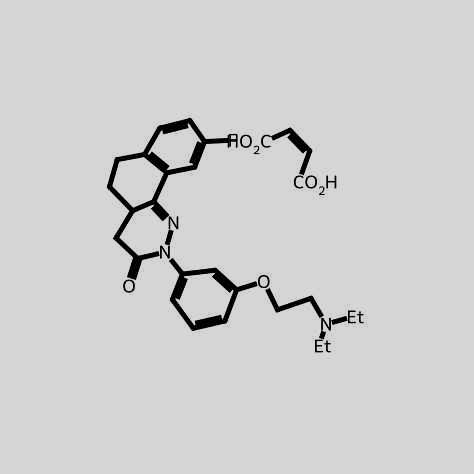 CCN(CC)CCOc1cccc(N2N=C3c4cc(F)ccc4CCC3CC2=O)c1.O=C(O)/C=C\C(=O)O